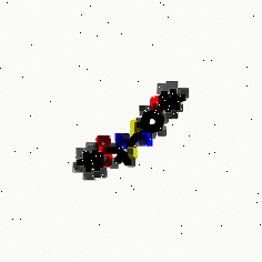 CC1(C)SC(c2nc3ccc(O[Si](C)(C)C(C)(C)C)cc3s2)=NC1C(=O)O[Si](C)(C)C(C)(C)C